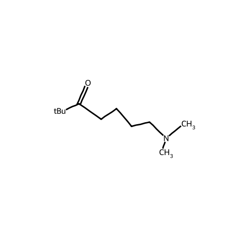 CN(C)CCCCC(=O)C(C)(C)C